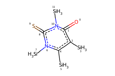 O=c1c([SiH3])c([SiH3])n([SiH3])c(=S)n1[SiH3]